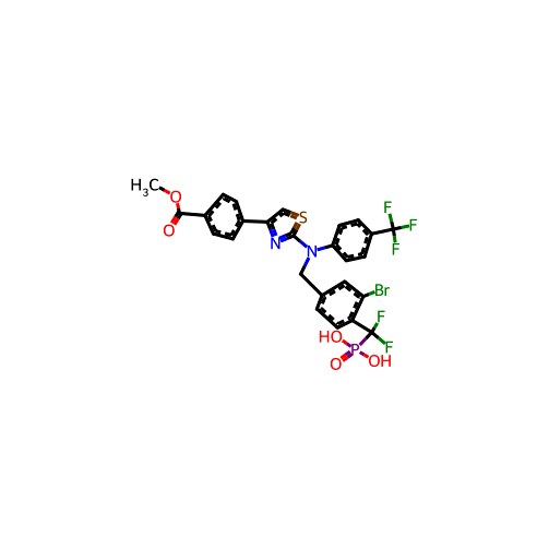 COC(=O)c1ccc(-c2csc(N(Cc3ccc(C(F)(F)P(=O)(O)O)c(Br)c3)c3ccc(C(F)(F)F)cc3)n2)cc1